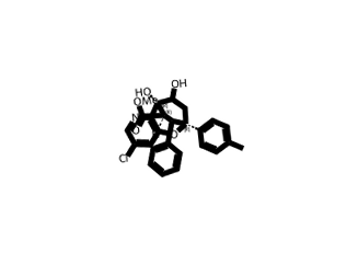 COC(=O)[C@@H]1C(c2ccccc2)[C@@]2(c3ccc(C)cc3)CC(O)[C@]1(O)c1ncc(Cl)cc1O2